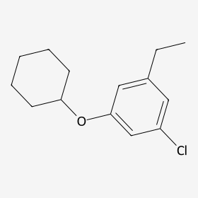 CCc1cc(Cl)cc(OC2CCCCC2)c1